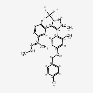 CN/N=C(\C)c1cccc(-c2c(C(F)(F)F)nn(C)c2-c2ccc(OCc3ccc(Cl)cc3)cc2O)c1